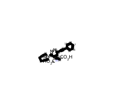 CN1C2CCC1CN(c1ccc(C#Cc3ccccc3)nn1)C2.O=C(O)/C=C/C(=O)O